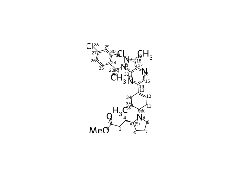 COC(=O)CC[C@@H]1CCCN1[C@H]1CC=C(c2cnc3c(C)nn([C@H](C)c4ccc(Cl)cc4Cl)c3n2)C[C@H]1C